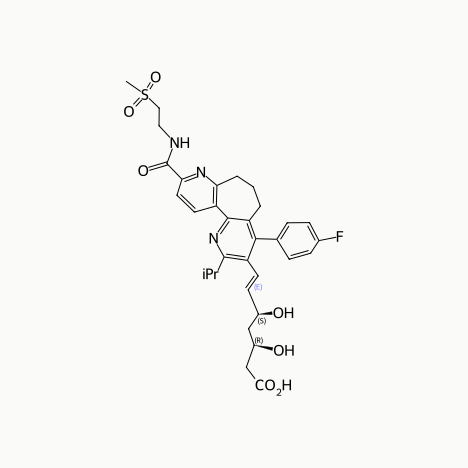 CC(C)c1nc2c(c(-c3ccc(F)cc3)c1/C=C/[C@@H](O)C[C@@H](O)CC(=O)O)CCCc1nc(C(=O)NCCS(C)(=O)=O)ccc1-2